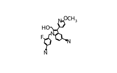 COc1ccc(-c2c(CO)n(Cc3ccc(C#N)cc3F)c3ccc(C#N)cc23)cn1